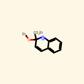 CCOC(=O)C1(OCC)C=Cc2ccccc2N1